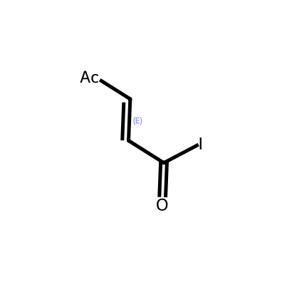 CC(=O)/C=C/C(=O)I